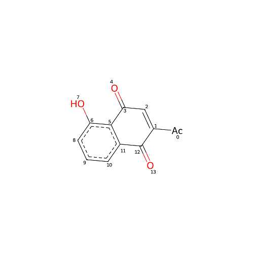 CC(=O)C1=CC(=O)c2c(O)cccc2C1=O